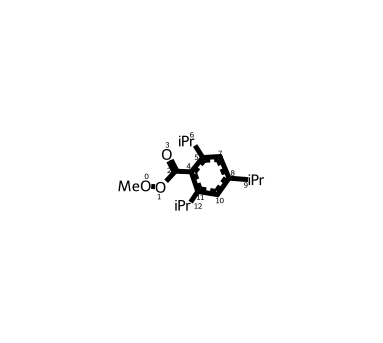 COOC(=O)c1c(C(C)C)cc(C(C)C)cc1C(C)C